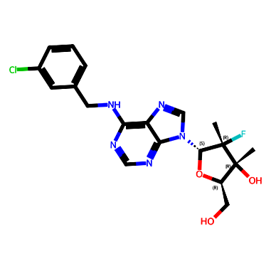 C[C@]1(F)[C@@H](n2cnc3c(NCc4cccc(Cl)c4)ncnc32)O[C@H](CO)[C@@]1(C)O